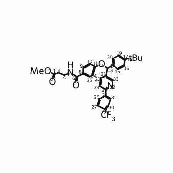 COC(=O)CCNC(=O)c1ccc(OC(c2ccc(C(C)(C)C)cc2)c2ccc(-c3ccc(C(F)(F)F)cc3)nc2)cc1